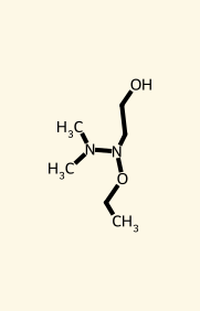 CCON(CCO)N(C)C